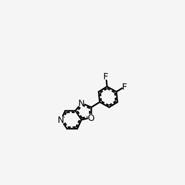 Fc1ccc(-c2nc3cnccc3o2)cc1F